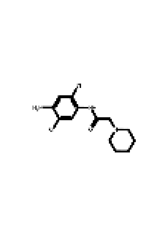 Nc1cc(Cl)c(NC(=O)CN2CC[CH]CC2)cc1Cl